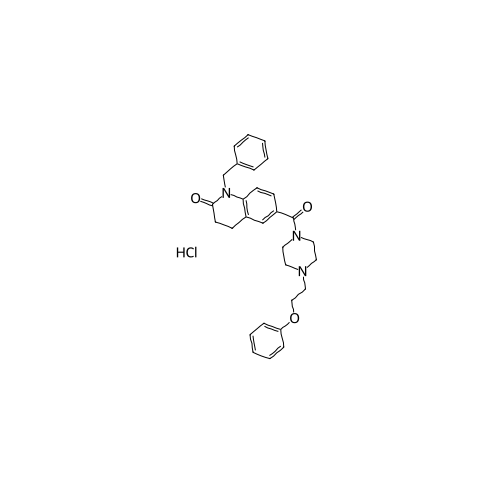 Cl.O=C(c1ccc2c(c1)CCC(=O)N2Cc1ccccc1)N1CCN(CCOc2ccccc2)CC1